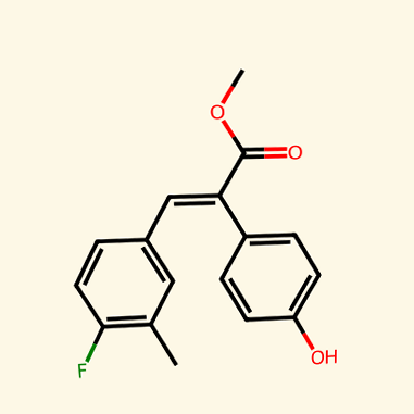 COC(=O)/C(=C/c1ccc(F)c(C)c1)c1ccc(O)cc1